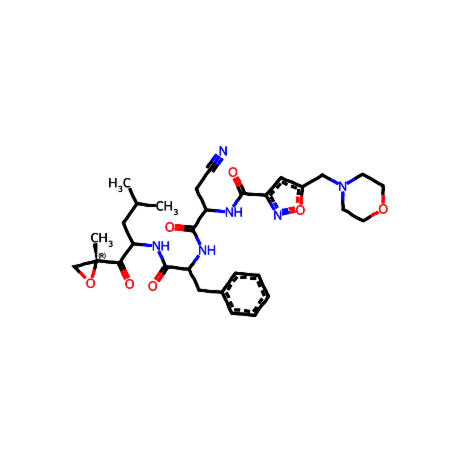 CC(C)CC(NC(=O)C(Cc1ccccc1)NC(=O)C(CC#N)NC(=O)c1cc(CN2CCOCC2)on1)C(=O)[C@@]1(C)CO1